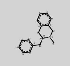 CN1Cc2ccccc2C[C@@H]1Cc1ccccc1